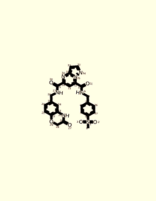 CS(=O)(=O)c1ccc(CNC(=O)c2cc(C(=O)NCc3ccc4c(c3)NC(=O)CO4)nc3ccnn23)cc1